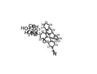 CC(C)(O)C(C)(C)OBc1ccc2c(c1)Oc1cc(C#N)ccc1C21c2ccccc2-c2cc3ccccc3cc21